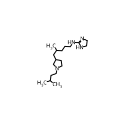 CC(C)CCN1CCC(CC(C)CCCNC2=NCCN2)C1